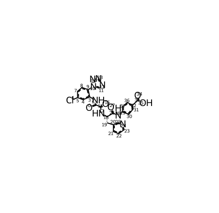 O=C(Nc1cc(Cl)ccc1-n1cnnn1)C(=O)N[C@@H](Cc1cccnc1)C(=O)Nc1ccc(C(=O)O)cc1